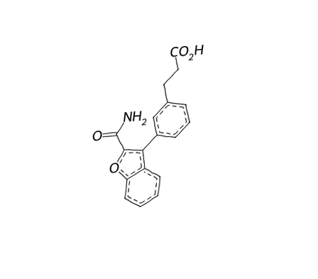 NC(=O)c1oc2ccccc2c1-c1cccc(CCC(=O)O)c1